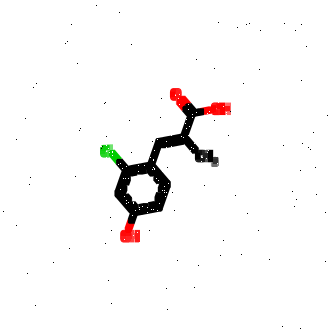 C/C(=C\c1ccc(O)cc1Cl)C(=O)O